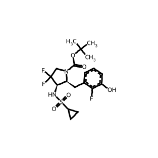 CC(C)(C)OC(=O)N1CC(F)(F)[C@H](NS(=O)(=O)C2CC2)[C@@H]1Cc1cccc(O)c1F